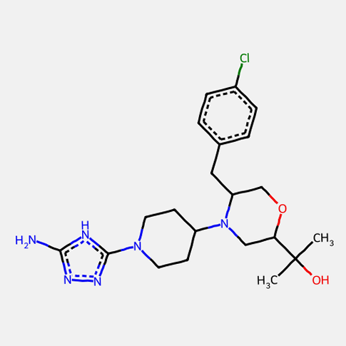 CC(C)(O)C1CN(C2CCN(c3nnc(N)[nH]3)CC2)C(Cc2ccc(Cl)cc2)CO1